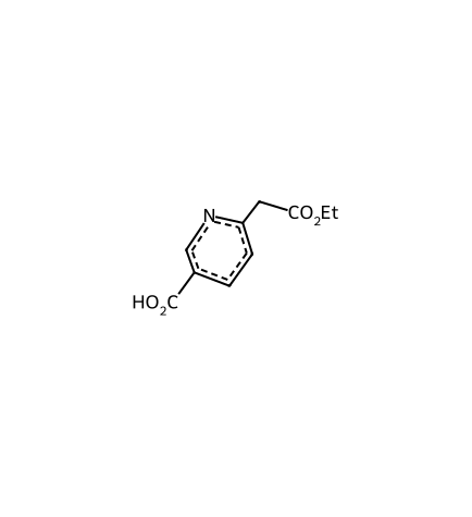 CCOC(=O)Cc1ccc(C(=O)O)cn1